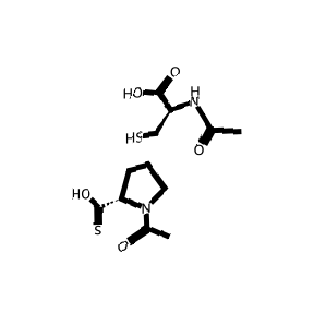 CC(=O)N1CCC[C@H]1C(O)=S.CC(=O)N[C@@H](CS)C(=O)O